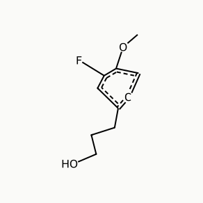 COc1ccc(CCCO)cc1F